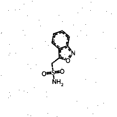 NS(=O)(=O)Cc1onc2ccccc12